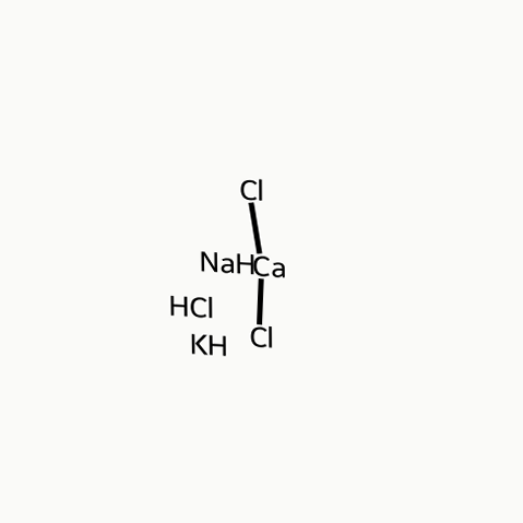 Cl.[Cl][Ca][Cl].[KH].[NaH]